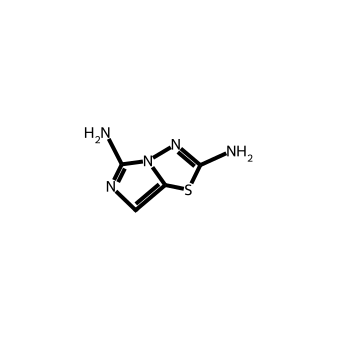 Nc1nn2c(N)ncc2s1